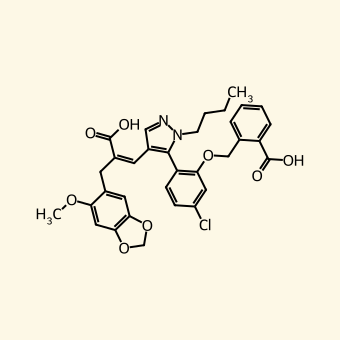 CCCCn1ncc(C=C(Cc2cc3c(cc2OC)OCO3)C(=O)O)c1-c1ccc(Cl)cc1OCc1ccccc1C(=O)O